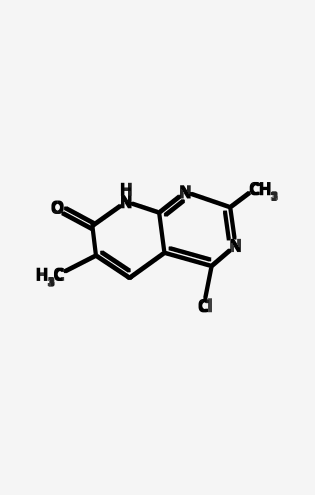 Cc1nc(Cl)c2cc(C)c(=O)[nH]c2n1